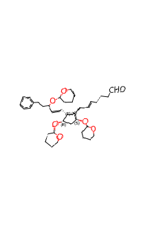 O=CCCCC=CC[C@@H]1[C@@H](C=CC(CCc2ccccc2)OC2CCCCO2)[C@H](OC2CCCCO2)C[C@@H]1OC1CCCCO1